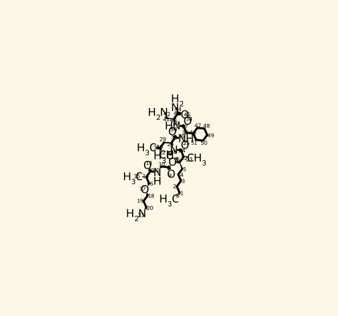 CCCCCC[C@@H](OC(=O)CNC(=O)[C@@H](C)COCCCN)[C@@H](C)C(=O)N(C)[C@@H](CC(C)C)C(=O)N[C@H](C(=O)N[C@@H](CN)C(N)=O)C1CCCCC1